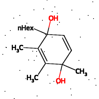 CCCCCCC1(O)C=CC(C)(O)C(C)=C1C